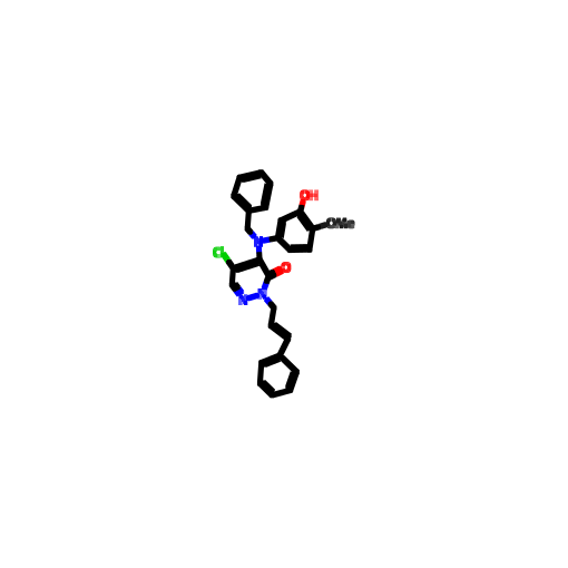 COc1ccc(N(Cc2ccccc2)c2c(Cl)cnn(CC=Cc3ccccc3)c2=O)cc1O